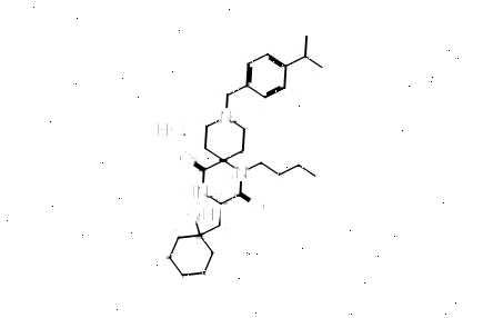 CCCCN1C(=O)[C@@H](CC2(O)CCCCC2)NC(=O)C12CCN(Cc1ccc(C(C)C)cc1)CC2.Cl